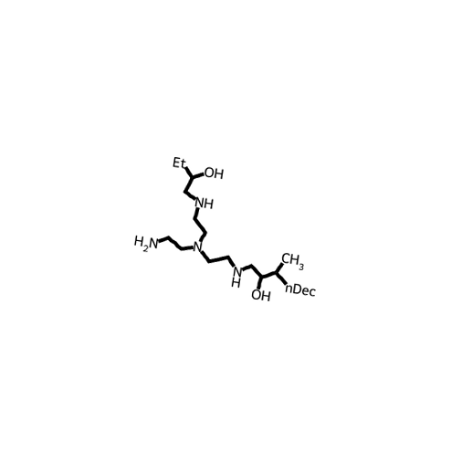 CCCCCCCCCCC(C)C(O)CNCCN(CCN)CCNCC(O)CC